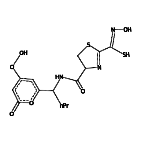 CCCC(NC(=O)C1CSC(/C(S)=N/O)=N1)c1cc(OO)cc(=O)o1